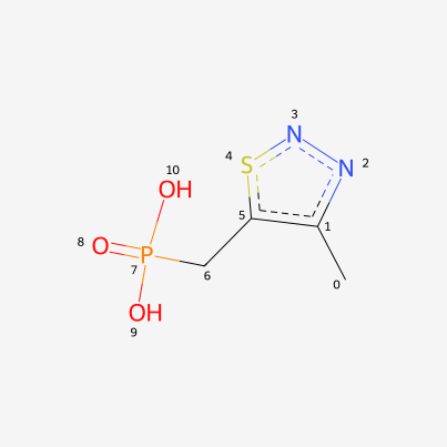 Cc1nnsc1CP(=O)(O)O